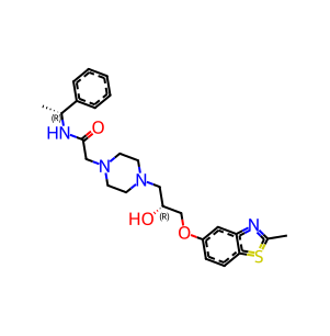 Cc1nc2cc(OC[C@H](O)CN3CCN(CC(=O)N[C@H](C)c4ccccc4)CC3)ccc2s1